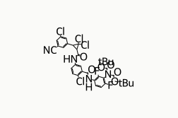 CC(C)(C)OC(=O)N(C(=O)OC(C)(C)C)c1c(F)ccc(NC(=O)c2cc(NC(=O)C3C(c4cc(Cl)cc(C#N)c4)C3(Cl)Cl)ccc2Cl)c1F